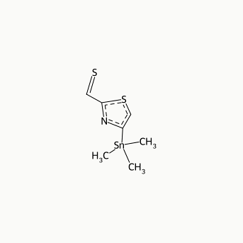 [CH3][Sn]([CH3])([CH3])[c]1csc(C=S)n1